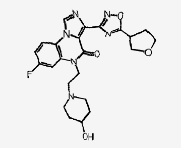 O=c1c2c(-c3noc(C4CCOC4)n3)ncn2c2ccc(F)cc2n1CCN1CCC(O)CC1